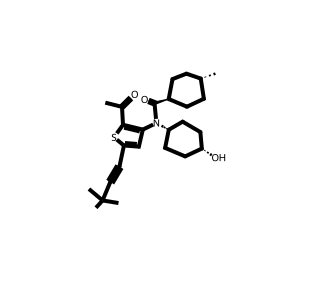 CC(=O)c1sc(C#CC(C)(C)C)cc1N(C(=O)[C@H]1CC[C@H](C)CC1)[C@H]1CC[C@@H](O)CC1